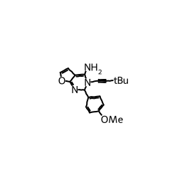 COc1ccc(C2N=c3occc3=C(N)N2C#CC(C)(C)C)cc1